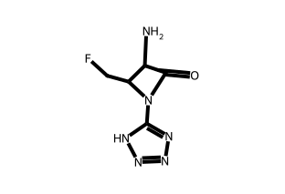 NC1C(=O)N(c2nnn[nH]2)C1CF